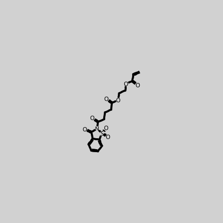 C=CC(=O)OCCOC(=O)CCCC(=O)N1C(=O)c2ccccc2S1(=O)=O